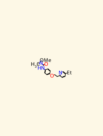 CCc1ccc(CCOc2ccc(NC(=O)N(C)OC)cc2)nc1